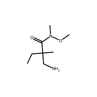 CCC(C)(CN)C(=O)N(C)OC